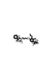 CCCc1c(OCCCCN2C(=O)NC(C)(c3ccccc3)C2=O)ccc2c1COC2(C(F)(F)F)C(F)(F)F